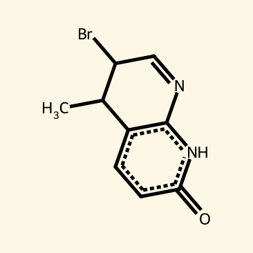 CC1c2ccc(=O)[nH]c2N=CC1Br